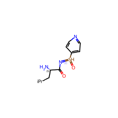 CC(C)C[C@H](N)C(=O)/N=[SH](=O)/c1ccncc1